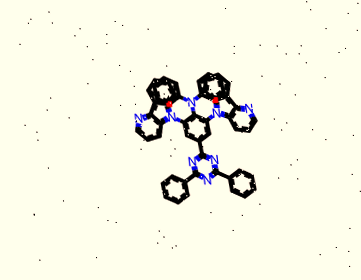 c1ccc(-c2nc(-c3ccccc3)nc(-c3cc(-n4c5ccccc5c5ncccc54)c(N(c4ccccc4)c4ccccc4)c(-n4c5ccccc5c5ncccc54)c3)n2)cc1